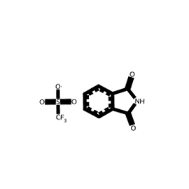 O=C1NC(=O)c2ccccc21.[O]S(=O)(=O)C(F)(F)F